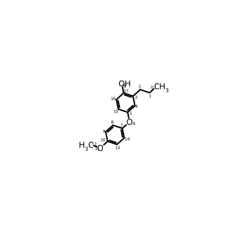 CCCc1cc(Oc2ccc(OC)cc2)ccc1O